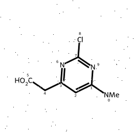 CNc1cc(CC(=O)O)nc(Cl)n1